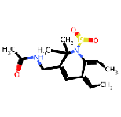 C/C=C1/C=C(CNC(C)=O)C(C)(C)N([SH](=O)=O)/C1=C/C